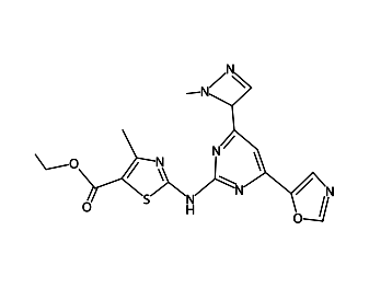 CCOC(=O)c1sc(Nc2nc(-c3cnco3)cc(C3C=NN3C)n2)nc1C